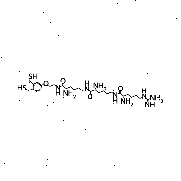 N=C(N)NCCCC[C@H](N)C(=O)NCCCC[C@H](N)C(=O)NCCCC[C@H](N)C(=O)NCCOc1ccc(CS)c(CS)c1